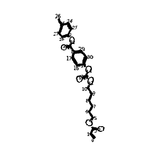 C=CC(=O)OCCCCCCOC(=O)Oc1ccc(C(=O)Oc2ccc(C)cc2)cc1